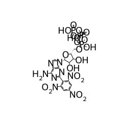 Nc1nc(-c2c([N+](=O)[O-])cc([N+](=O)[O-])cc2[N+](=O)[O-])nc2c1ncn2[C@@H]1O[C@H](COP(=O)(O)OP(=O)(O)OP(=O)(O)O)C(O)C1O